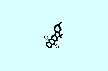 Cc1ccc2c(c1)C(C)(C)c1cc3c(cc1-2)C(=O)c1ccccc1C3=O